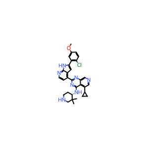 COc1ccc(Cl)c(-c2cc3c(-c4nc(N[C@H]5CCNCC5(C)C)c5c(C6CC6)cncc5n4)ccnc3[nH]2)c1